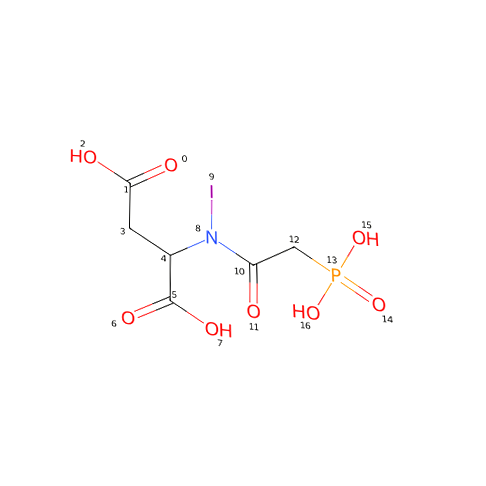 O=C(O)CC(C(=O)O)N(I)C(=O)CP(=O)(O)O